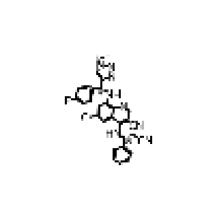 CC(C)n1cc([C@@H](Nc2cc(Cl)cc3c(N[C@H](CC#N)c4ccccc4)c(C#N)cnc23)c2ccc(F)cc2)nn1